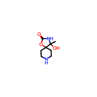 CC1(O)NC(=O)OC12CCNCC2